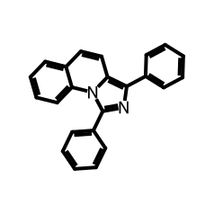 c1ccc(-c2nc(-c3ccccc3)n3c2ccc2ccccc23)cc1